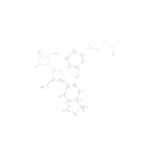 CC(F)CCOc1cc(F)c(C2C(C3COC3)C(=O)N2c2ccc3[nH]cnc3c2)c(F)c1